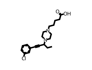 CCC(C#Cc1cccc(Cl)c1)N1CCN(CCCCC(=O)O)CC1